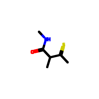 CNC(=O)C(C)C(C)=S